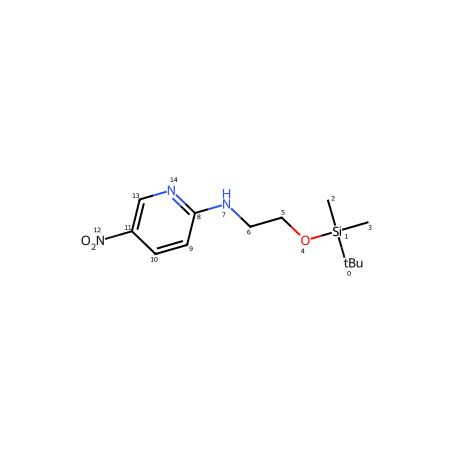 CC(C)(C)[Si](C)(C)OCCNc1ccc([N+](=O)[O-])cn1